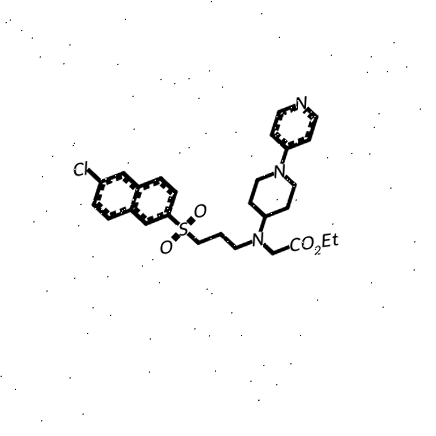 CCOC(=O)CN(CCCS(=O)(=O)c1ccc2cc(Cl)ccc2c1)C1CCN(c2ccncc2)CC1